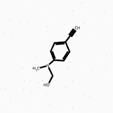 C#Cc1ccc(N(C)CO)cc1